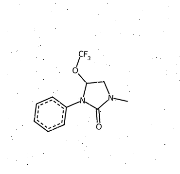 CN1CC(OC(F)(F)F)N(c2ccccc2)C1=O